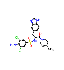 CC1=CCN(C(=O)C(Cc2ccc3[nH]cnc3c2)NS(=O)(=O)c2cc(Cl)c(N)c(Cl)c2)CC1